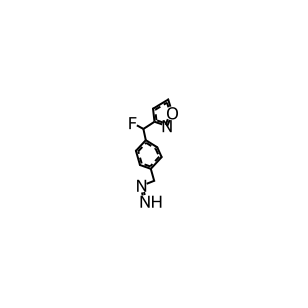 N=NCc1ccc(C(F)c2ccon2)cc1